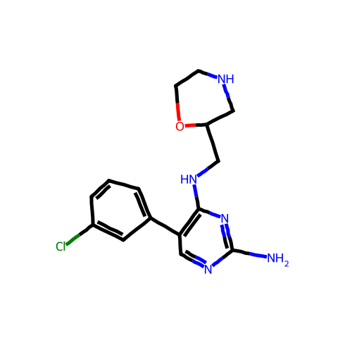 Nc1ncc(-c2cccc(Cl)c2)c(NCC2CNCCO2)n1